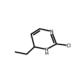 CCC1C=CN=C(Cl)N1